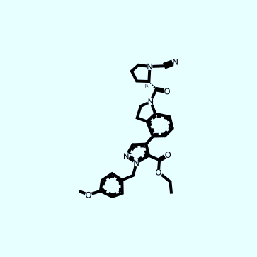 CCOC(=O)c1c(-c2cccc3c2CCN3C(=O)[C@@H]2CCCN2C#N)cnn1Cc1ccc(OC)cc1